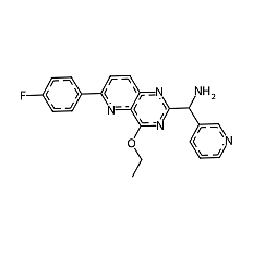 CCOc1nc(C(N)c2cccnc2)nc2ccc(-c3ccc(F)cc3)nc12